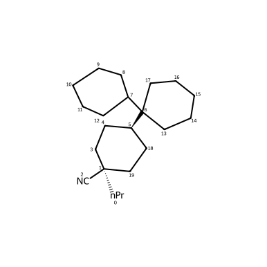 CCC[C@]1(C#N)CC[C@@H](C2(C3CCCCC3)CCCCC2)CC1